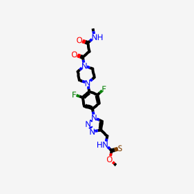 CNC(=O)CC(=O)N1CCN(c2c(F)cc(-n3cc(CNC(=S)OC)nn3)cc2F)CC1